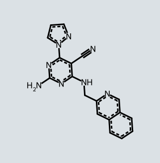 N#Cc1c(NCc2cc3ccccc3cn2)nc(N)nc1-n1cccn1